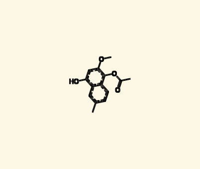 COc1cc(O)c2cc(C)ccc2c1OC(C)=O